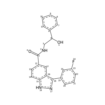 O=C(NCC(O)c1ccccc1)c1ccc2[nH]nc(-c3cccc(F)c3)c2c1